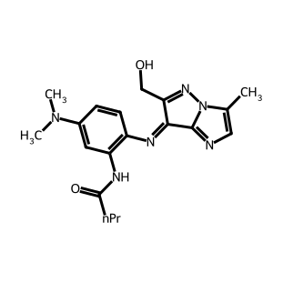 CCCC(=O)Nc1cc(N(C)C)ccc1N=C1C(CO)=Nn2c(C)cnc21